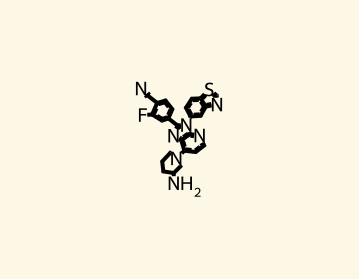 N#Cc1ccc(-c2nc3c(N4CCCC(N)C4)ccnc3n2-c2ccc3scnc3c2)cc1F